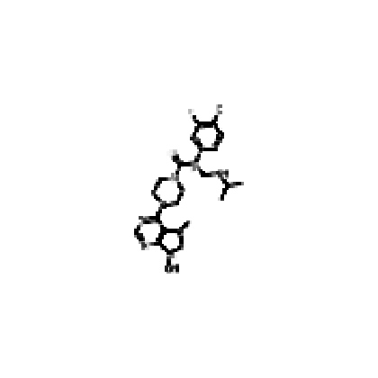 CC(C)NC[C@@H](C(=O)N1CCN(c2ncnc3c2C(C)C[C@H]3O)CC1)c1ccc(Cl)c(F)c1